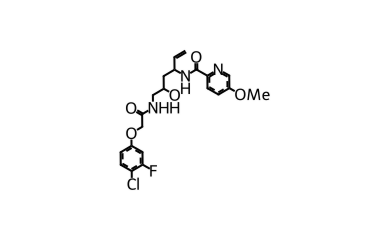 C=CC(CC(O)CNC(=O)COc1ccc(Cl)c(F)c1)NC(=O)c1ccc(OC)cn1